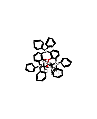 CC(C)(C)[Si](c1ccccc1)(c1ccccc1)c1cccc2c1Oc1c(cccc1[Si](c1ccccc1)(c1ccccc1)C(C)(C)C)[Si]2(c1ccccc1)c1ccccc1